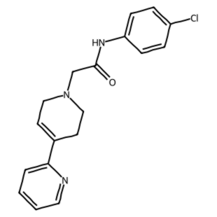 O=C(CN1CC=C(c2ccccn2)CC1)Nc1ccc(Cl)cc1